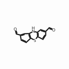 O=Cc1ccc2c(c1)Nc1cc(C=O)ccc1S2